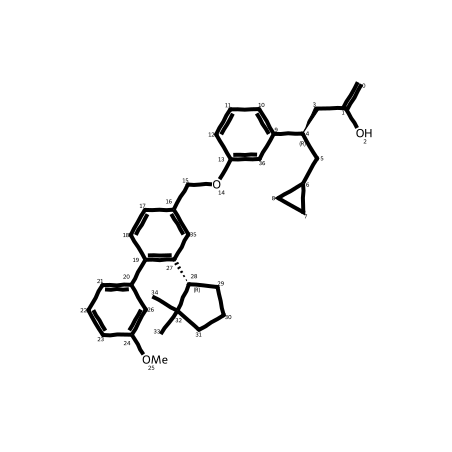 C=C(O)C[C@@H](CC1CC1)c1cccc(OCc2ccc(-c3cccc(OC)c3)c([C@@H]3CCCC3(C)C)c2)c1